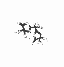 CC1(C)N=C(C(C)(Br)C2=NC(C)(C)C(=O)O2)OC1=O